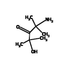 CC(C)(N)C(=O)C(C)(C)O